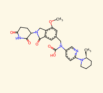 COc1cc(CN(C(=O)O)c2ccc(N3CCCC[C@@H]3C)nc2)cc2c1CN(C1CCC(=O)NC1=O)C2=O